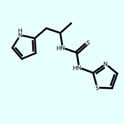 CC(Cc1ccc[nH]1)NC(=S)Nc1nccs1